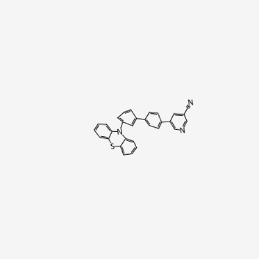 N#Cc1cncc(-c2ccc(-c3cccc(N4c5ccccc5Sc5ccccc54)c3)cc2)c1